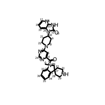 C[N+]1(C(=O)c2cc(N3CCC(n4c(=O)[nH]c5ncccc54)CC3)ncn2)CC2(CCNCC2)c2ccccc21